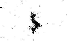 Cc1nc(N)ccc1-c1cc(C)c2nc(N[C@H]3C[C@H](F)CN(C(=O)OC(C)(C)C)C3)ncc2n1